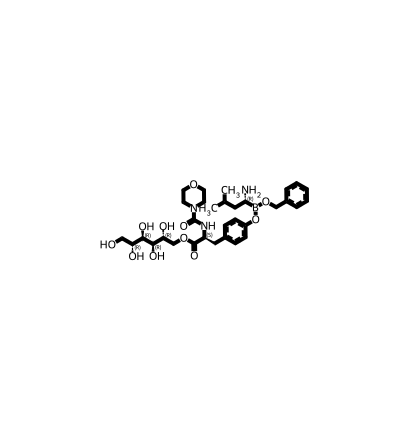 CC(C)C[C@H](N)B(OCc1ccccc1)Oc1ccc(C[C@H](NC(=O)N2CCOCC2)C(=O)OC[C@@H](O)[C@@H](O)[C@H](O)[C@H](O)CO)cc1